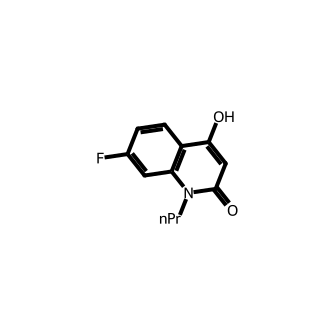 CCCn1c(=O)cc(O)c2ccc(F)cc21